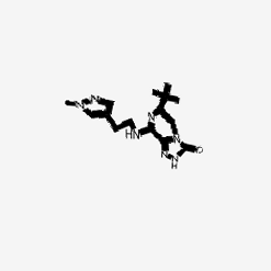 Cn1cc(CCNc2nc(C(C)(C)C)cn3c(=O)[nH]nc23)cn1